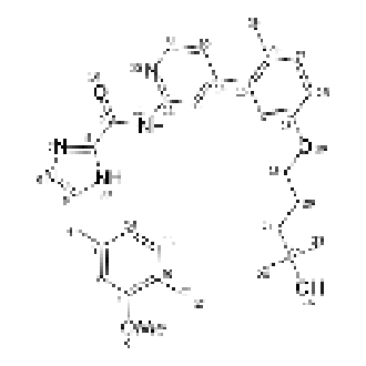 COc1cc(Cc2nnc(C(=O)Nc3cc(-c4cc(OCCCC(C)(C)O)ccc4C)ccn3)[nH]2)ccc1F